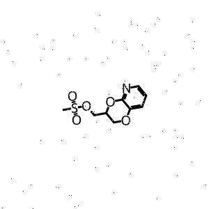 CS(=O)(=O)OCC1COc2cccnc2O1